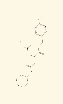 COc1ccc(COC(=O)[C@H](CC(=O)OC2CCCCC2)NC(=O)OC(C)(C)C)cc1